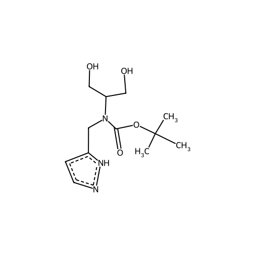 CC(C)(C)OC(=O)N(Cc1ccn[nH]1)C(CO)CO